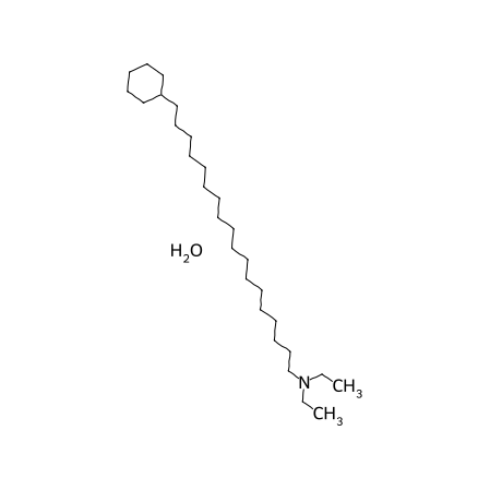 CCN(CC)CCCCCCCCCCCCCCCCCCC1CCCCC1.O